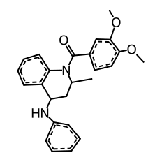 COc1ccc(C(=O)N2c3ccccc3C(Nc3ccccc3)CC2C)cc1OC